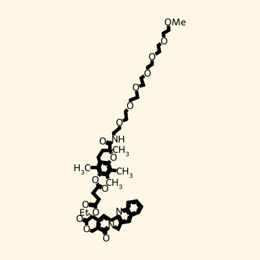 CC[C@@]1(OC(=O)CCC(=O)Oc2c(C)c(C)c3c(c2C)CC[C@@](C)(C(=O)NCCOCCOCCOCCOCCOCCOCCOC)O3)C(=O)OCc2c1cc1n(c2=O)Cc2cc3ccccc3nc2-1